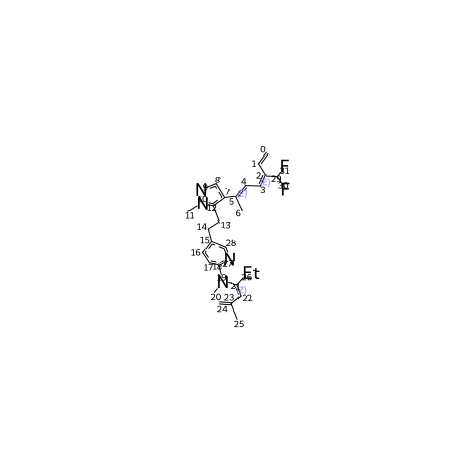 C=C/C(=C\C=C(/C)c1cnn(C)c1CCc1ccc(N(C)/C(=C\C(=C)C)CC)nc1)C(F)F